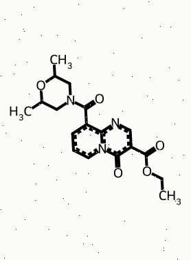 CCOC(=O)c1cnc2c(C(=O)N3CC(C)OC(C)C3)cccn2c1=O